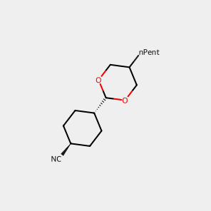 CCCCCC1COC([C@H]2CC[C@H](C#N)CC2)OC1